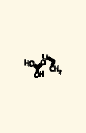 O=C(O)O.[Li][CH2]C